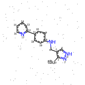 CC(C)(C)c1n[nH]cc1CNc1ccc(-c2ccccn2)cc1